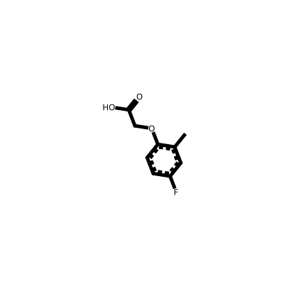 Cc1cc(F)ccc1OCC(=O)O